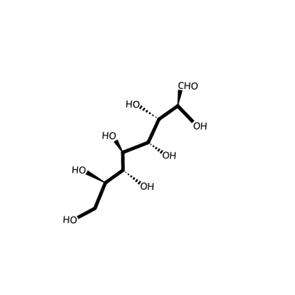 O=C[C@@H](O)[C@@H](O)[C@H](O)[C@H](O)[C@H](O)[C@H](O)CO